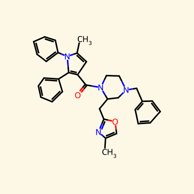 Cc1coc(CC2CN(Cc3ccccc3)CCN2C(=O)c2cc(C)n(-c3ccccc3)c2-c2ccccc2)n1